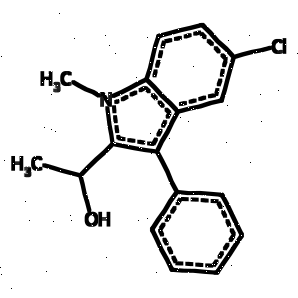 CC(O)c1c(-c2ccccc2)c2cc(Cl)ccc2n1C